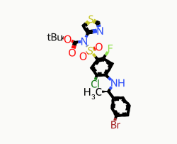 C[C@@H](Nc1cc(F)c(S(=O)(=O)N(C(=O)OC(C)(C)C)c2cscn2)cc1Cl)c1cccc(Br)c1